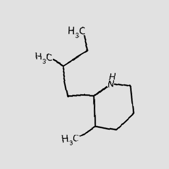 CCC(C)CC1NCCCC1C